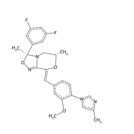 COc1cc(/C=C2\O[C@@H](C)CN3C2=NO[C@@]3(C)c2cc(F)cc(F)c2)ccc1-n1cnc(C)c1